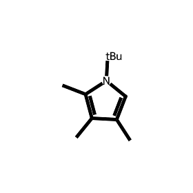 Cc1cn(C(C)(C)C)c(C)c1C